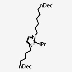 CCCCCCCCCCCCCCCCn1cc[n+](CCCCCCCCCCCCCC)c1C(C)C